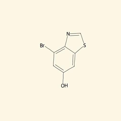 Oc1cc(Br)c2ncsc2c1